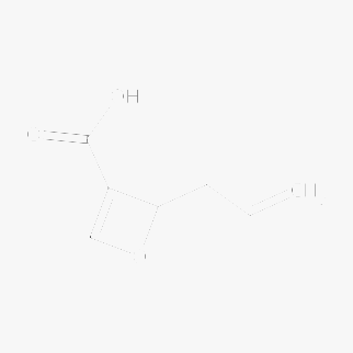 C=CCC1OC=C1C(=O)O